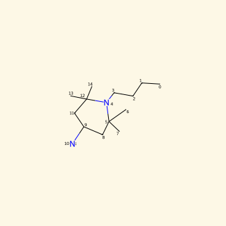 CCCCN1C(C)(C)CC([N])CC1(C)C